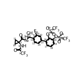 C[C@@H](NC(=O)C1(NC(=O)C(F)(F)F)CC1)c1ccc(-c2cccc(OS(=O)(=O)C(F)(F)F)c2OS(=O)(=O)C(F)(F)F)cc1F